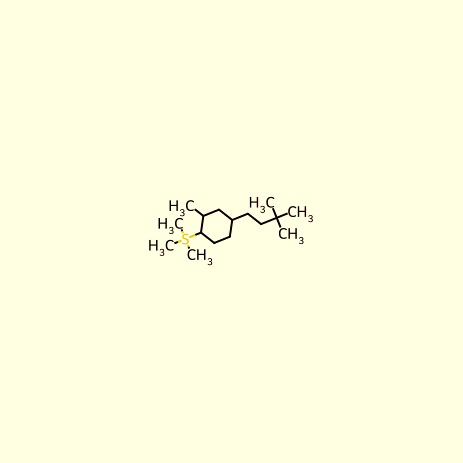 CC1CC(CCC(C)(C)C)CCC1S(C)(C)C